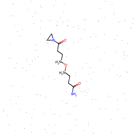 NC(=O)CC[SiH2]O[SiH2]CCC(=O)N1CC1